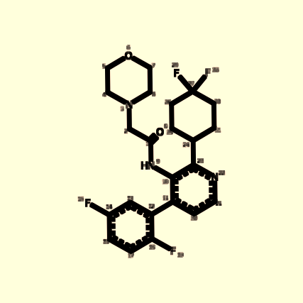 O=C(CN1CCOCC1)Nc1c(-c2cc(F)ccc2F)ccnc1C1CCC(F)(F)CC1